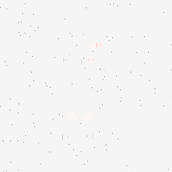 C=C(C)C(=O)OC1CCCC(C(C)(C)OC(C)C(C)(O)C(F)(F)F)CCC1